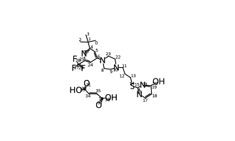 CC(C)(C)c1cc(N2CCN(CCCSc3nccc(O)n3)CC2)cc(C(F)(F)F)n1.O=C(O)C=CC(=O)O